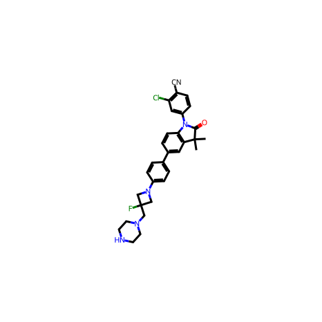 CC1(C)C(=O)N(c2ccc(C#N)c(Cl)c2)c2ccc(-c3ccc(N4CC(F)(CN5CCNCC5)C4)cc3)cc21